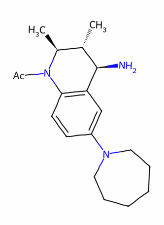 CC(=O)N1c2ccc(N3CCCCCC3)cc2[C@H](N)[C@@H](C)[C@@H]1C